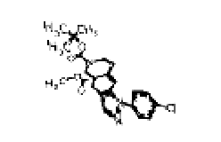 COC(=O)[C@]12Cc3cnn(-c4ccc(Cl)cc4)c3C=C1CCN(C(=O)OC(C)(C)C)C2